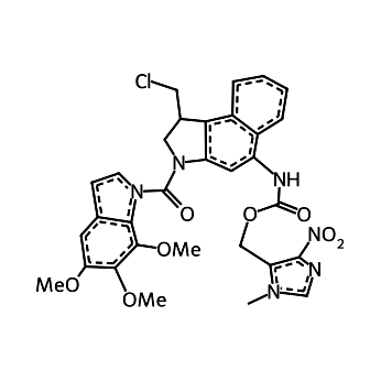 COc1cc2ccn(C(=O)N3CC(CCl)c4c3cc(NC(=O)OCc3c([N+](=O)[O-])ncn3C)c3ccccc43)c2c(OC)c1OC